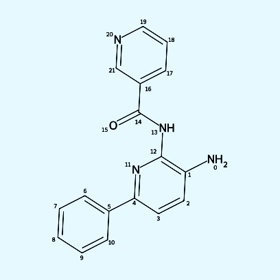 Nc1ccc(-c2ccccc2)nc1NC(=O)c1cccnc1